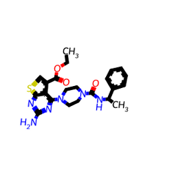 CCOC(=O)c1csc2nc(N)nc(N3CCN(C(=O)NC(C)c4ccccc4)CC3)c12